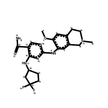 COc1cc2c(cc1Nc1ncc(C(N)=O)c(NC3CCC(F)(F)C3)n1)CN(C)CC2